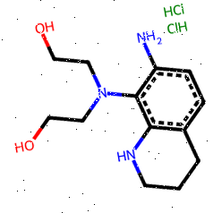 Cl.Cl.Nc1ccc2c(c1N(CCO)CCO)NCCC2